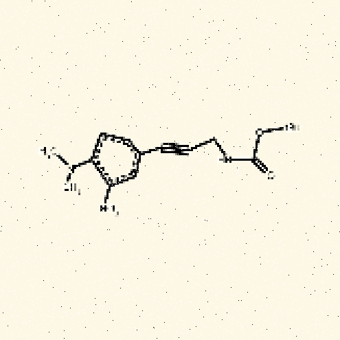 CN(C)c1ccc(C#CCNC(=O)OC(C)(C)C)cc1[N+](=O)[O-]